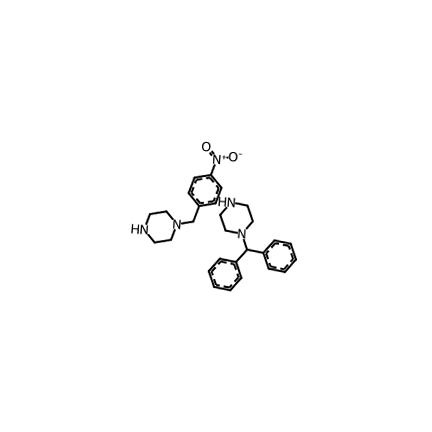 O=[N+]([O-])c1ccc(CN2CCNCC2)cc1.c1ccc(C(c2ccccc2)N2CCNCC2)cc1